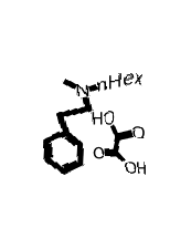 CCCCCCN(C)CCc1ccccc1.O=C(O)C(=O)O